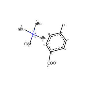 CCCC[N+](CCCC)(CCCC)CCCC.Cc1ccc(C(=O)[O-])cc1